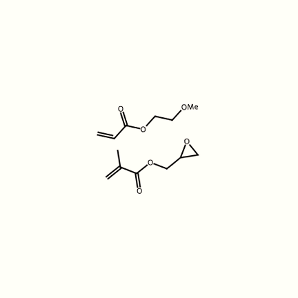 C=C(C)C(=O)OCC1CO1.C=CC(=O)OCCOC